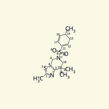 Cc1nc2c(s1)CN(S(=O)(=O)C1=CCC(C)C=C1)CC2(C)C